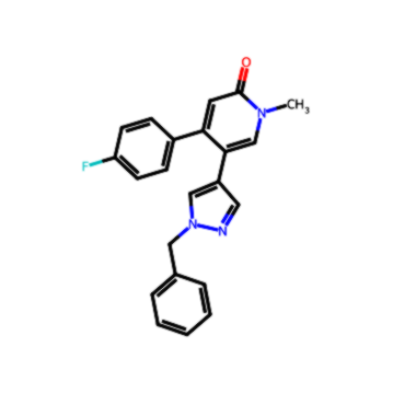 Cn1cc(-c2cnn(Cc3ccccc3)c2)c(-c2ccc(F)cc2)cc1=O